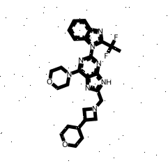 CC(F)(F)c1nc2ccccc2n1-c1nc(N2CCOCC2)c2nc(CN3CC(C4CCOCC4)C3)[nH]c2n1